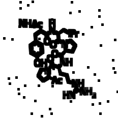 CC(=O)N[C@@H](Cc1ccc(O)cc1)C(=O)N[C@@H](CC(C)C)C(=O)N1CCC[C@H]1C(=O)N[C@@H](CCCNC(=N)N)C(=O)N1CCC[C@H]1C(C)=O